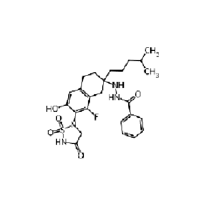 CC(C)CCCC1(NNC(=O)c2ccccc2)CCc2cc(O)c(N3CC(=O)NS3(=O)=O)c(F)c2C1